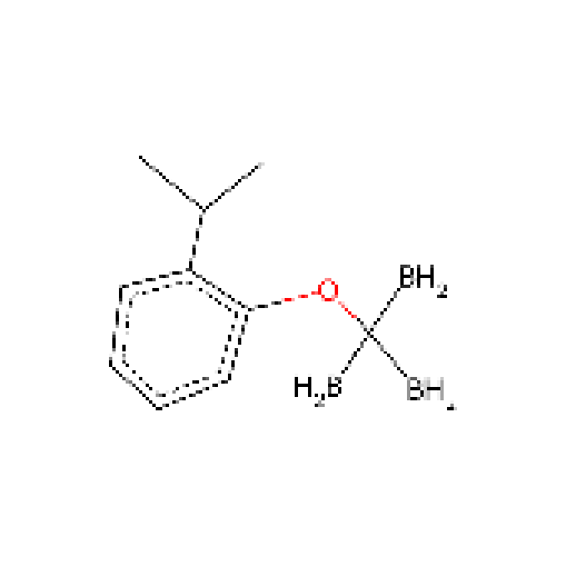 BC(B)(B)Oc1ccccc1C(C)C